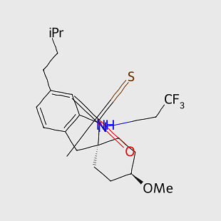 CO[C@H]1CC[C@]2(CC1)Cc1ccc(CCC(C)C)cc1C21NC(=S)N(CC(F)(F)F)C1=O